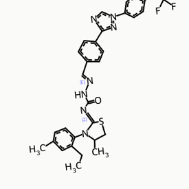 CCc1cc(C)ccc1N1/C(=N/C(=O)N/N=C/c2ccc(-c3ncn(-c4ccc(OC(F)(F)F)cc4)n3)cc2)SCC1C